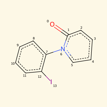 O=c1ccccn1-c1ccccc1I